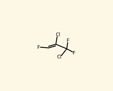 FC=C(Cl)C(F)(F)Cl